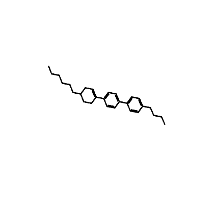 CCCCCCC1CC=C(c2ccc(-c3ccc(CCCC)cc3)cc2)CC1